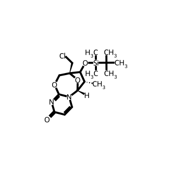 C[C@H]1C(O[Si](C)(C)C(C)(C)C)[C@@]2(CCl)COc3nc(=O)ccn3[C@@H]1O2